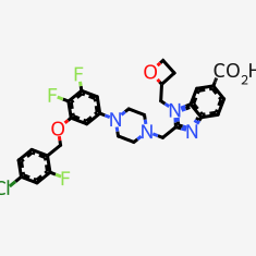 O=C(O)c1ccc2nc(CN3CCN(c4cc(F)c(F)c(OCc5ccc(Cl)cc5F)c4)CC3)n(CC3CCO3)c2c1